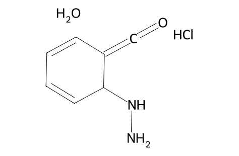 Cl.NNC1C=CC=CC1=C=O.O